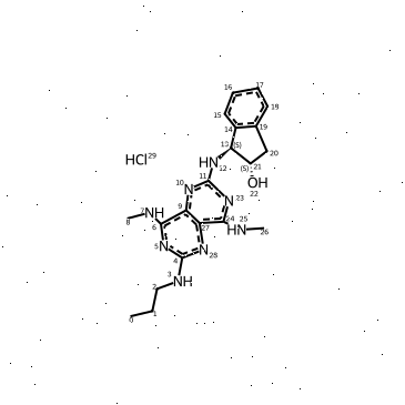 CCCNc1nc(NC)c2nc(N[C@H]3c4ccccc4C[C@@H]3O)nc(NC)c2n1.Cl